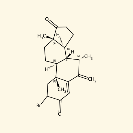 C=C1C2=CC(=O)C(Br)C[C@]2(C)[C@H]2CC[C@]3(C)C(=O)CC[C@H]3[C@@H]2[C@@H]1C